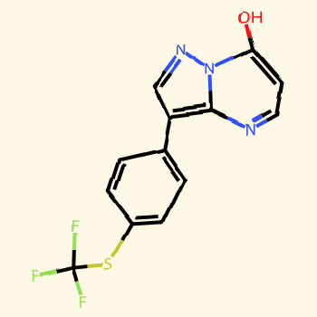 Oc1ccnc2c(-c3ccc(SC(F)(F)F)cc3)cnn12